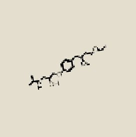 CCOCCC(Cc1ccc(OCC(O)CNC(C)C)cc1)OC